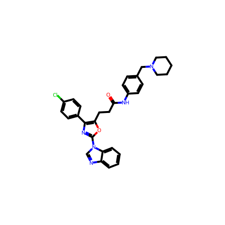 O=C(CCc1oc(-n2cnc3ccccc32)nc1-c1ccc(Cl)cc1)Nc1ccc(CN2CCCCC2)cc1